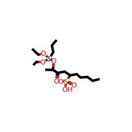 CCCCCC(CC(=O)C(C)O[Si](CCC)(OCC)OCC)S(=O)(=O)O